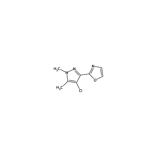 Cc1c(Cl)c(-c2ncco2)nn1C